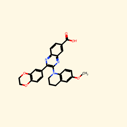 COc1ccc2c(c1)CCCN2c1nc2cc(C(=O)O)ccc2nc1-c1ccc2c(c1)OCCO2